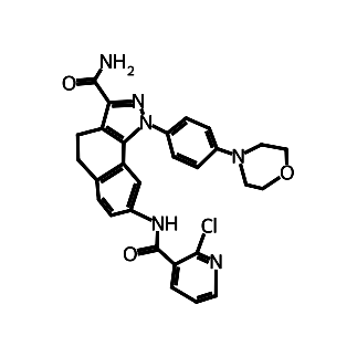 NC(=O)c1nn(-c2ccc(N3CCOCC3)cc2)c2c1CCc1ccc(NC(=O)c3cccnc3Cl)cc1-2